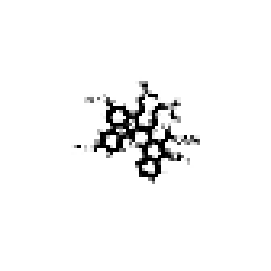 COC(=O)c1c2c(c3ccccc3c1N)OC(c1ccc(OC)cc1)(c1ccc(OC)cc1)C(CCCN(C)C)=C2CCCN(C)C